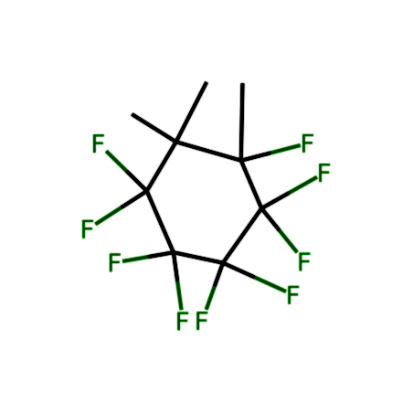 CC1(C)C(C)(F)C(F)(F)C(F)(F)C(F)(F)C1(F)F